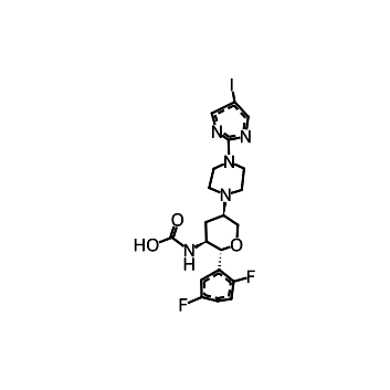 O=C(O)N[C@H]1C[C@@H](N2CCN(c3ncc(I)cn3)CC2)CO[C@@H]1c1cc(F)ccc1F